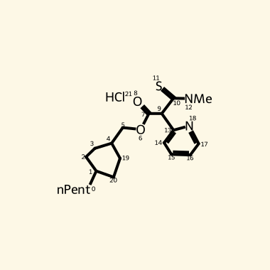 CCCCCC1CCC(COC(=O)C(C(=S)NC)c2ccccn2)CC1.Cl